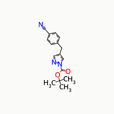 CC(C)(C)OC(=O)n1cc(Cc2ccc(C#N)cc2)cn1